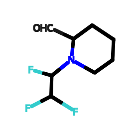 O=CC1CCCCN1C(F)C(F)F